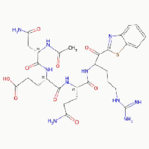 CC(=O)N[C@@H](CC(N)=O)C(=O)N[C@@H](CCC(=O)O)C(=O)N[C@@H](CCC(N)=O)C(=O)NC(CCCNC(=N)N)C(=O)c1nc2ccccc2s1